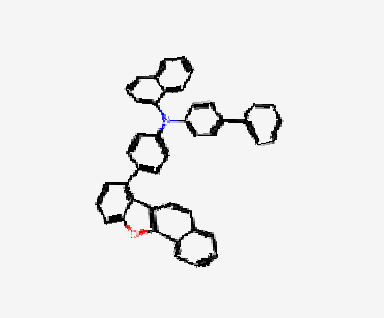 c1ccc(-c2ccc(N(c3ccc(-c4cccc5oc6c7ccccc7ccc6c45)cc3)c3cccc4ccccc34)cc2)cc1